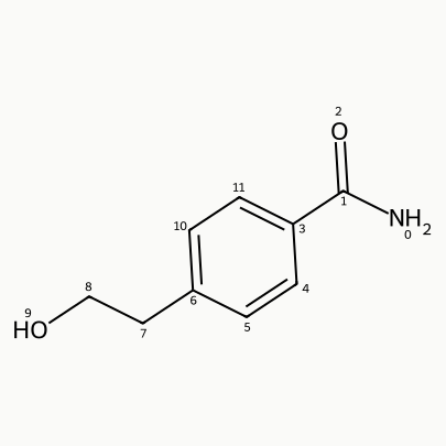 NC(=O)c1ccc(CCO)cc1